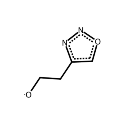 [O]CCc1conn1